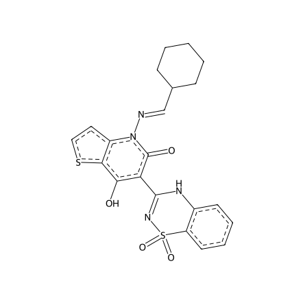 O=c1c(C2=NS(=O)(=O)c3ccccc3N2)c(O)c2sccc2n1N=CC1CCCCC1